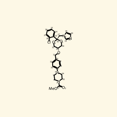 COC(=O)N1CCN(c2ccc(CO[C@H]3CO[C@@](Cn4ccnc4)(c4ccccc4Cl)OC3)cc2)CC1